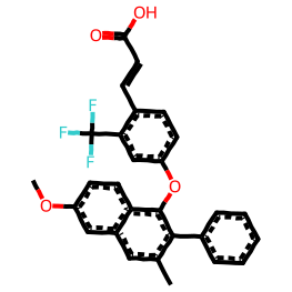 COc1ccc2c(Oc3ccc(C=CC(=O)O)c(C(F)(F)F)c3)c(-c3ccccc3)c(C)cc2c1